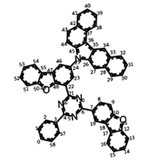 c1ccc(-c2nc(-c3ccc4oc5ccccc5c4c3)nc(-c3cc(-n4c5cc6ccccc6cc5c5c6ccccc6ccc54)cc4c3oc3ccccc34)n2)cc1